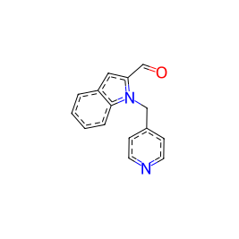 O=Cc1cc2ccccc2n1Cc1ccncc1